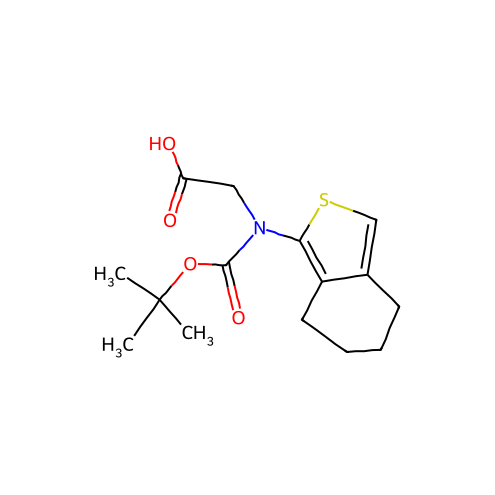 CC(C)(C)OC(=O)N(CC(=O)O)c1scc2c1CCCC2